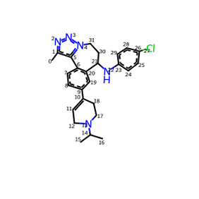 Cc1nnn2c1-c1ccc(C3=CCN(C(C)C)CC3)cc1C(Nc1ccc(Cl)cc1)CC2